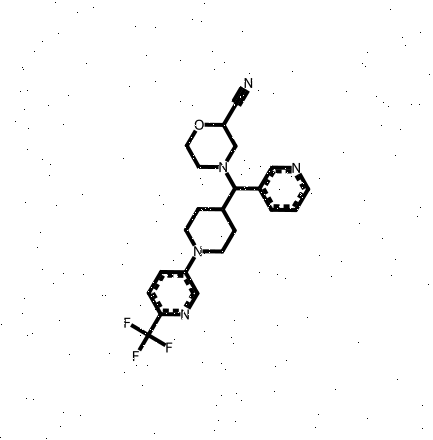 N#CC1CN(C(c2cccnc2)C2CCN(c3ccc(C(F)(F)F)nc3)CC2)CCO1